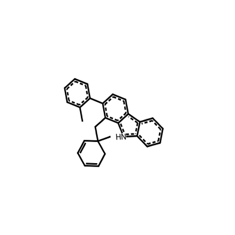 Cc1ccccc1-c1ccc2c([nH]c3ccccc32)c1CC1(C)C=CC=CC1